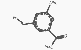 COC(=O)c1cc(CBr)cc(OC(C)=O)c1